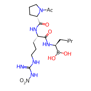 CC(=O)N1CCC[C@H]1C(=O)N[C@@H](CCCNC(=N)N[N+](=O)[O-])C(=O)N[C@@H](CC(C)C)B(O)O